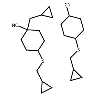 N#CC1(CC2CC2)CCC(SCC2CC2)CC1.N#CC1CCC(SCC2CC2)CC1